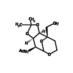 CC(=O)N[C@@H]1C2OCC[C@](CO)(O2)[C@@H]2OC(C)(C)O[C@H]12